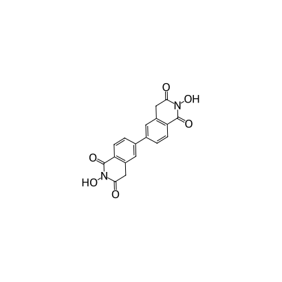 O=C1Cc2cc(-c3ccc4c(c3)CC(=O)N(O)C4=O)ccc2C(=O)N1O